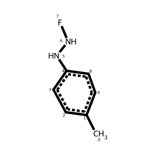 Cc1ccc(NNF)cc1